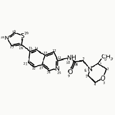 CC1COCCN1CC(=O)Nc1cc2cc(-c3cncs3)ccc2cn1